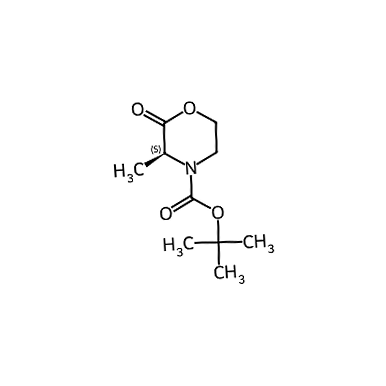 C[C@H]1C(=O)OCCN1C(=O)OC(C)(C)C